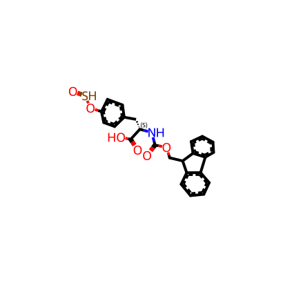 O=[SH]Oc1ccc(C[C@H](NC(=O)OCC2c3ccccc3-c3ccccc32)C(=O)O)cc1